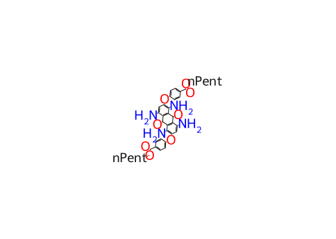 CCCCCOC(=O)c1ccc(Oc2cc(N)c3c(c2N)C(=O)c2c(N)cc(Oc4ccc(C(=O)OCCCCC)cc4)c(N)c2C3=O)cc1